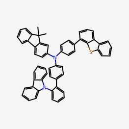 CC1(C)c2ccccc2-c2ccc(N(c3ccc(-c4ccccc4-n4c5ccccc5c5ccccc54)cc3)c3ccc(-c4cccc5c4sc4ccccc45)cc3)cc21